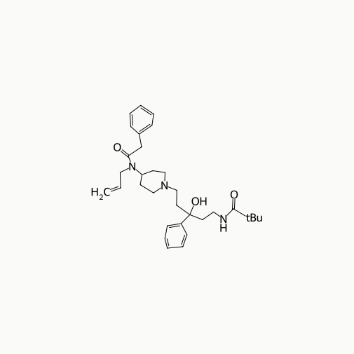 C=CCN(C(=O)Cc1ccccc1)C1CCN(CCC(O)(CCNC(=O)C(C)(C)C)c2ccccc2)CC1